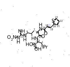 CC(C)C[C@H](NC(=O)[C@H](CCCNC(=N)N[N+](=O)[O-])NC(=O)/C=C/c1cccs1)B(O)O